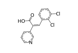 O=C(O)C(=Cc1cccc(Cl)c1Cl)c1cccnc1